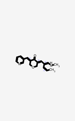 C\C=C/C(=C\NC)/C=C1\COC/C(=C\c2cccnc2)C1=O